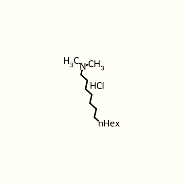 CCCCCCCCCCCCCN(C)C.Cl